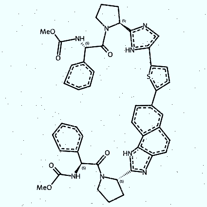 COC(=O)N[C@H](C(=O)N1CCC[C@H]1c1ncc(-c2ccc(-c3ccc4c(ccc5nc([C@@H]6CCCN6C(=O)[C@@H](NC(=O)OC)c6ccccc6)[nH]c54)c3)s2)[nH]1)c1ccccc1